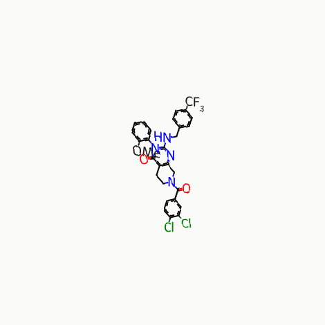 COc1ccccc1-n1c(NCc2ccc(C(F)(F)F)cc2)nc2c(c1=O)CCN(C(=O)c1ccc(Cl)c(Cl)c1)C2